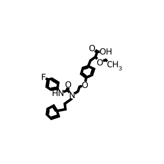 CCOC(Cc1ccc(OCCN(CCCc2ccccc2)C(=O)Nc2ccc(F)cc2)cc1)C(=O)O